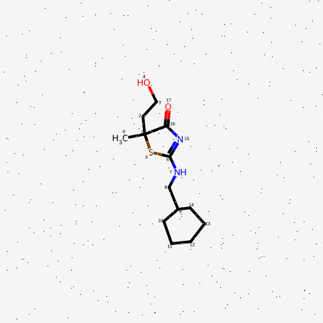 CC1(CCO)SC(NCC2CCCCC2)=NC1=O